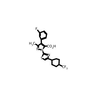 Cc1nn(-c2nc(C3CCC(C(F)(F)F)CC3)cs2)c(C(=O)O)c1-c1cccc(F)c1